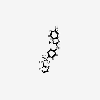 O=S(=O)(Nc1nccs1)c1ccc(Nc2nc3cc(Cl)ccc3[nH]2)cc1